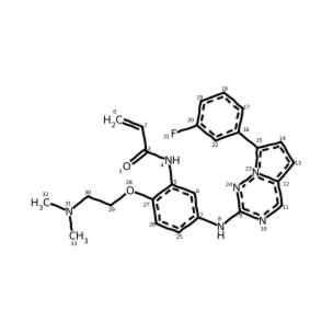 C=CC(=O)Nc1cc(Nc2ncc3ccc(-c4cccc(F)c4)n3n2)ccc1OCCN(C)C